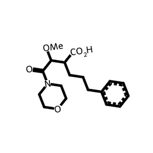 COC(C(=O)N1CCOCC1)C(CCCc1ccccc1)C(=O)O